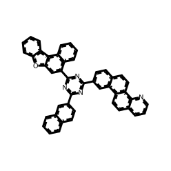 c1ccc2cc(-c3nc(-c4ccc5ccc6c(ccc7cccnc76)c5c4)nc(-c4cc5oc6ccccc6c5c5ccccc45)n3)ccc2c1